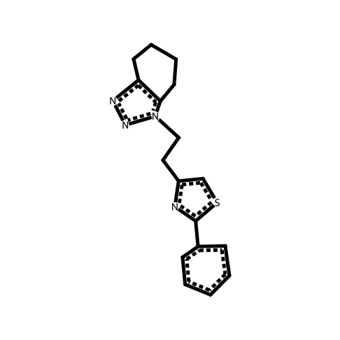 c1ccc(-c2nc(CCn3nnc4c3CCCC4)cs2)cc1